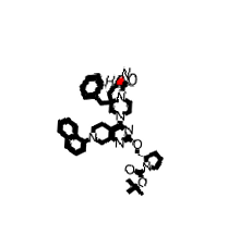 CC(C)(C)OC(=O)N1CCC[C@H]1COc1nc2c(c(N3CCN(C(=O)O)C(CC#N)(Cc4ccccc4)C3)n1)CCN(c1cccc3ccccc13)C2